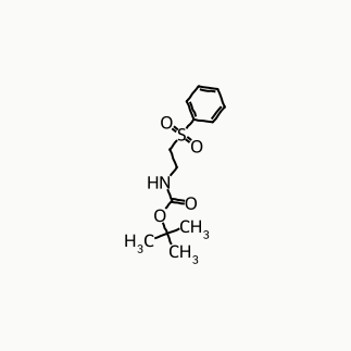 CC(C)(C)OC(=O)NCCS(=O)(=O)c1ccccc1